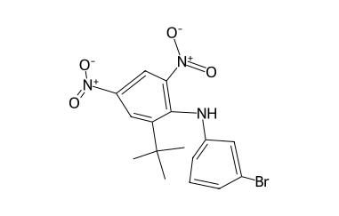 CC(C)(C)c1cc([N+](=O)[O-])cc([N+](=O)[O-])c1Nc1cccc(Br)c1